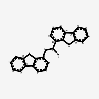 [V][CH](Cc1cccc2c1Cc1ccccc1-2)c1cccc2c1Cc1ccccc1-2